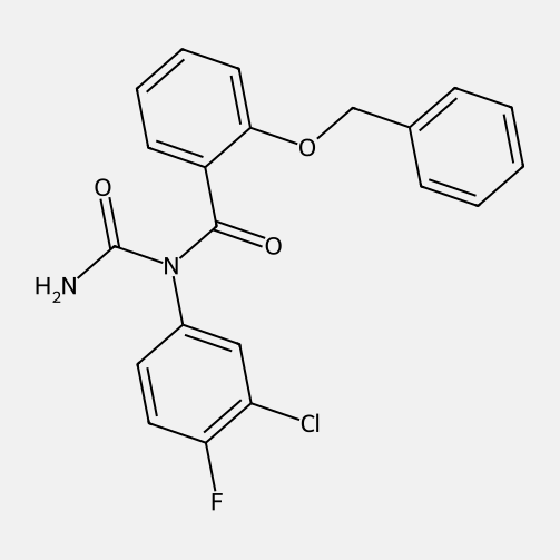 NC(=O)N(C(=O)c1ccccc1OCc1ccccc1)c1ccc(F)c(Cl)c1